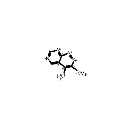 CSc1nnc2ncncc2c1O